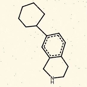 c1cc2c(cc1C1CCCCC1)CNCC2